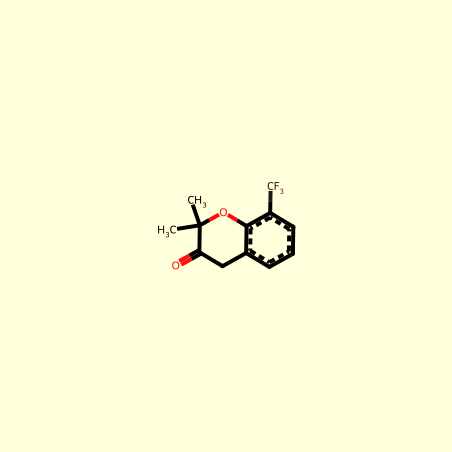 CC1(C)Oc2c(cccc2C(F)(F)F)CC1=O